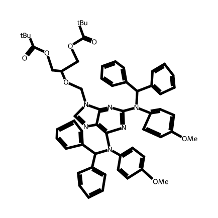 COc1ccc(N(c2nc(N(c3ccc(OC)cc3)C(c3ccccc3)c3ccccc3)c3ncn(COC(COC(=O)C(C)(C)C)COC(=O)C(C)(C)C)c3n2)C(c2ccccc2)c2ccccc2)cc1